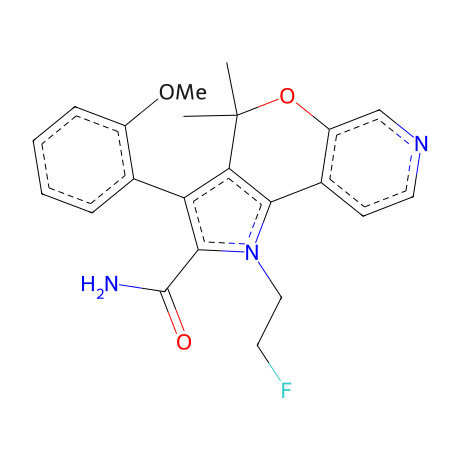 COc1ccccc1-c1c2c(n(CCF)c1C(N)=O)-c1ccncc1OC2(C)C